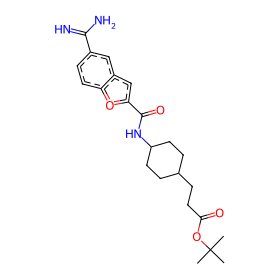 CC(C)(C)OC(=O)CCC1CCC(NC(=O)c2cc3cc(C(=N)N)ccc3o2)CC1